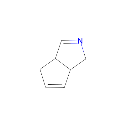 C1=CC2CN=CC2C1